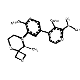 COc1ncc(-c2ccnc(N(C)C)c2OC)cc1N1CCOC2(COC2)[C@@H]1C